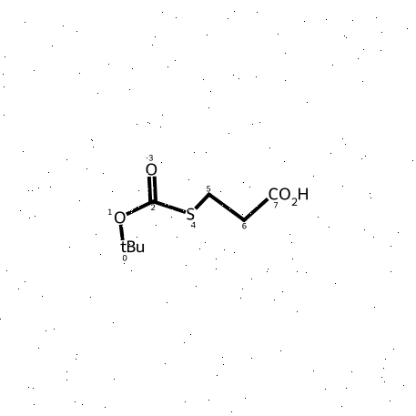 CC(C)(C)OC(=O)SCCC(=O)O